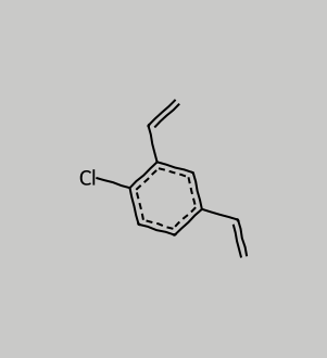 C=Cc1ccc(Cl)c(C=C)c1